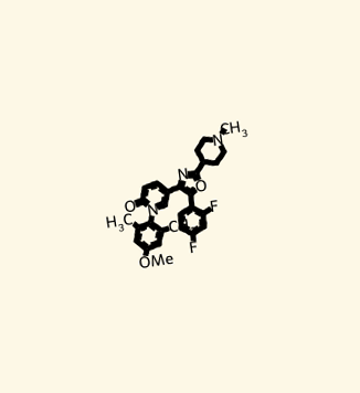 COc1cc(C)c(-n2cc(-c3nc(C4CCN(C)CC4)oc3-c3ccc(F)cc3F)ccc2=O)c(C)c1